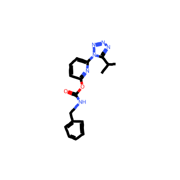 CC(C)c1nnnn1-c1cccc(OC(=O)NCc2ccccc2)n1